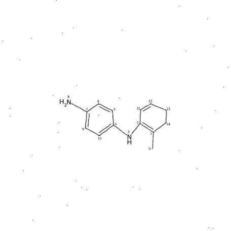 CC1=C(Nc2ccc(N)cc2)C=CCC1